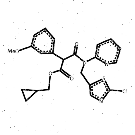 COc1cccc(C(C(=O)OCC2CC2)C(=O)N(Cc2cnc(Cl)s2)c2ccccn2)c1